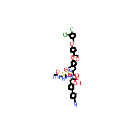 CC(=O)Nc1ncc(S(=O)(=O)N2Cc3cc4c(cc3CC2C(=O)NC(Cc2ccc(-c3ccc(C#N)cc3)cc2)C(=O)O)OCC(c2ccc(OCc3ccc(Cl)c(Cl)c3)cc2)O4)s1